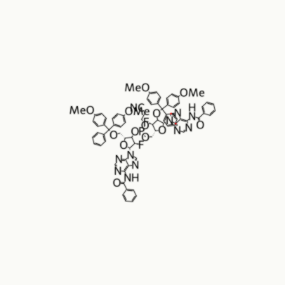 COc1ccc(C(OC[C@H]2O[C@@H](n3cnc4c(NC(=O)c5ccccc5)ncnc43)[C@H](F)[C@@H]2OP(OCCC#N)OC[C@H]2O[C@@H](n3cnc4c(NC(=O)c5ccccc5)ncnc43)[C@H](OC(c3ccccc3)(c3ccc(OC)cc3)c3ccc(OC)cc3)[C@@H]2F)(c2ccccc2)c2ccc(OC)cc2)cc1